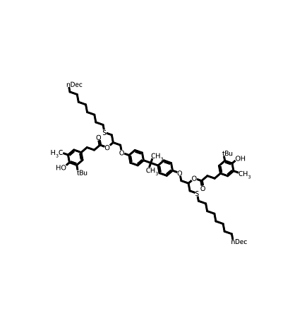 CCCCCCCCCCCCCCCCCCSCC(COc1ccc(C(C)(C)c2ccc(OCC(CSCCCCCCCCCCCCCCCCCC)OC(=O)CCc3cc(C)c(O)c(C(C)(C)C)c3)cc2)cc1)OC(=O)CCc1cc(C)c(O)c(C(C)(C)C)c1